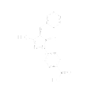 CC1=NN(c2ccc(C(=O)O)cc2)C(=O)/C1=C\c1ccccc1